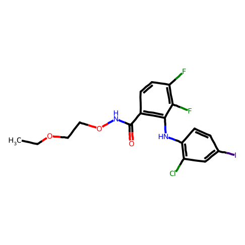 CCOCCONC(=O)c1ccc(F)c(F)c1Nc1ccc(I)cc1Cl